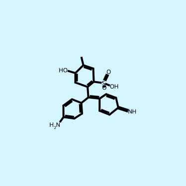 Cc1cc(S(=O)(=O)O)c(C(=C2C=CC(=N)C=C2)c2ccc(N)cc2)cc1O